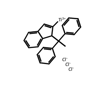 CC(c1ccccc1)(c1ccccc1)C1[C]([Ti+3])=Cc2ccccc21.[Cl-].[Cl-].[Cl-]